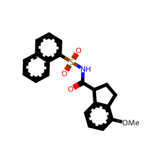 COc1cccc2c1CCC2C(=O)NS(=O)(=O)c1cccc2ccccc12